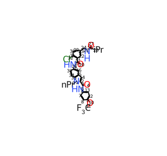 CCCn1c(C(=O)Nc2ccc(OC(F)(F)F)cc2)cc2cc(NC(=O)c3cc(CNC(=O)C(C)C)ccc3Cl)ccc21